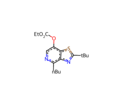 CCCCc1ncc(OC(=O)OCC)c2sc(C(C)(C)C)nc12